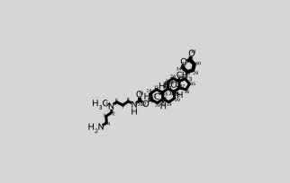 CN(CCCN)CCCNC(=O)O[C@H]1CC[C@@]2(C)[C@H](CC[C@@H]3[C@@H]2CC[C@]2(C)[C@H](c4ccc(=O)oc4)CC[C@]32O)C1